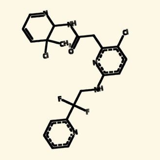 CC1(Cl)C=CC=NC1NC(=O)Cc1nc(NCC(F)(F)c2ccccn2)ccc1Cl